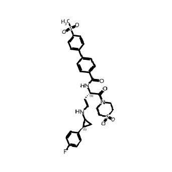 CS(=O)(=O)c1ccc(-c2ccc(C(=O)N[C@@H](CCNC3C[C@H]3c3ccc(F)cc3)C(=O)N3CCS(=O)(=O)CC3)cc2)cc1